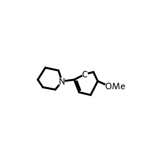 COC1CC=C(N2CCCCC2)CC1